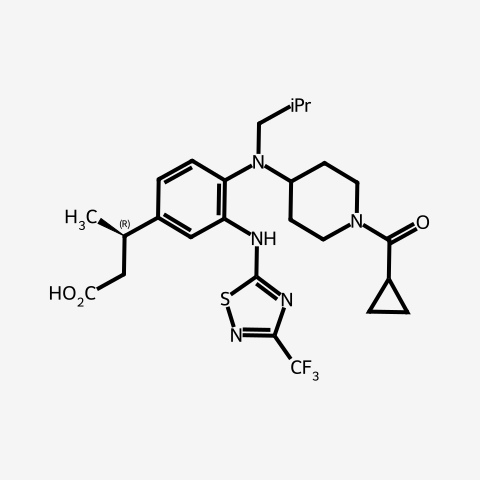 CC(C)CN(c1ccc([C@H](C)CC(=O)O)cc1Nc1nc(C(F)(F)F)ns1)C1CCN(C(=O)C2CC2)CC1